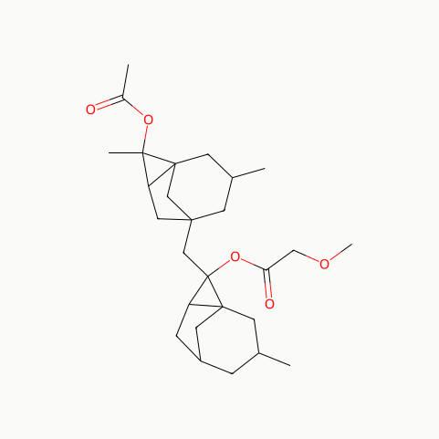 COCC(=O)OC1(CC23CC(C)CC4(C2)C(C3)C4(C)OC(C)=O)C2CC3CC(C)CC21C3